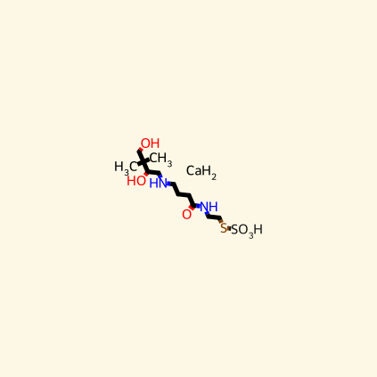 CC(C)(CO)C(O)CNCCCC(=O)NCCSS(=O)(=O)O.[CaH2]